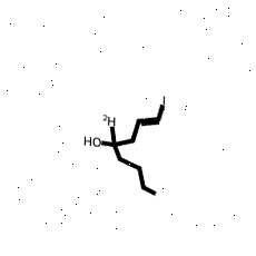 [2H]C(O)(CC=CI)CCCC